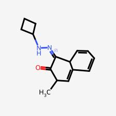 CC1C=C2C=CC=CC2/C(=N/NC2CCC2)C1=O